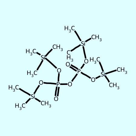 C[Si](C)(C)OP(=O)(O[Si](C)(C)C)OP(=O)(O[Si](C)(C)C)O[Si](C)(C)C